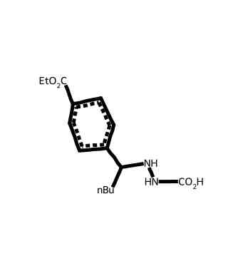 CCCCC(NNC(=O)O)c1ccc(C(=O)OCC)cc1